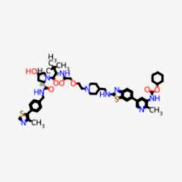 Cc1ncc(-c2ccc3nc(NCC4CCN(CCOCC(=O)N[C@H](C(=O)N5C[C@H](O)C[C@H]5C(=O)NCc5ccc(-c6scnc6C)cc5)C(C)(C)C)CC4)sc3c2)cc1NC(=O)OC1CCCCC1